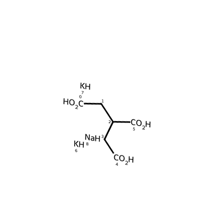 O=C(O)CC(CC(=O)O)C(=O)O.[KH].[KH].[NaH]